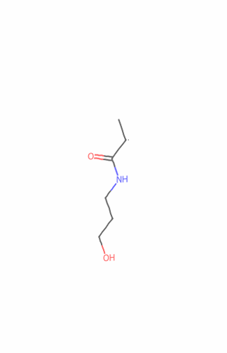 C[CH]C(=O)NCCCO